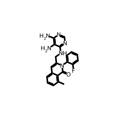 Cc1cccc2cc(CNc3ncnc(N)c3N)n(-c3ccccc3F)c(=O)c12